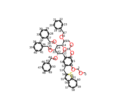 COCOc1cc(OCOC)c([C@@H]2O[C@H](COCc3ccccc3)[C@@H](OCc3ccccc3)[C@H](OCc3ccccc3)[C@H]2OCc2ccccc2)cc1Cc1cc2ccccc2s1